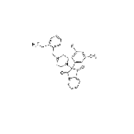 CCc1ccccc1CN1CCN(C2(c3cc(C)cc(F)c3)C(=O)c3ccccc3C2=O)CC1